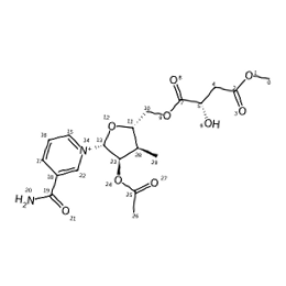 COC(=O)C[C@H](O)C(=O)OC[C@H]1O[C@@H]([n+]2cccc(C(N)=O)c2)[C@H](OC(C)=O)[C@@H]1C